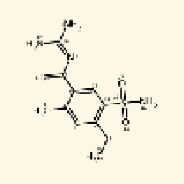 CCc1cc(C)c(C(=O)N=C(N)N)cc1S(N)(=O)=O